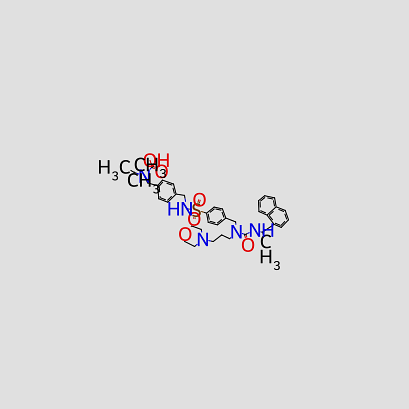 C[C@H](NC(=O)N(CCCN1CCOCC1)Cc1ccc(S(=O)(=O)NCc2ccc(CN(C(=O)O)C(C)(C)C)cc2)cc1)c1cccc2ccccc12